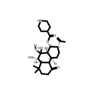 C=C(C)[C@@H]1CC[C@H]2C3C(=O)CCC(C)(C)[C@H]3[C@H](O)C(O)(OCC)[C@@]2(C(C)=O)[C@@H]1OC(=O)C1CCNCC1